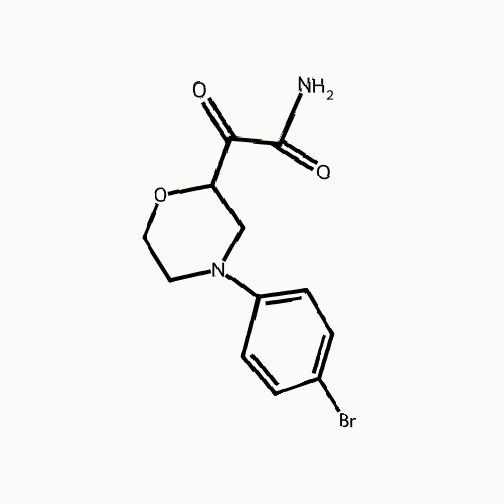 NC(=O)C(=O)C1CN(c2ccc(Br)cc2)CCO1